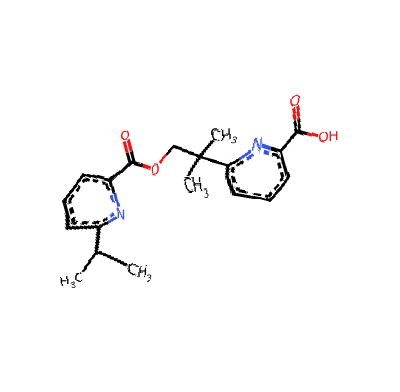 CC(C)c1cccc(C(=O)OCC(C)(C)c2cccc(C(=O)O)n2)n1